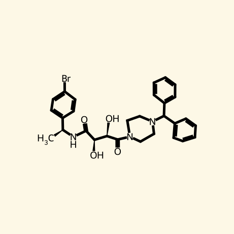 C[C@H](NC(=O)[C@H](O)[C@@H](O)C(=O)N1CCN(C(c2ccccc2)c2ccccc2)CC1)c1ccc(Br)cc1